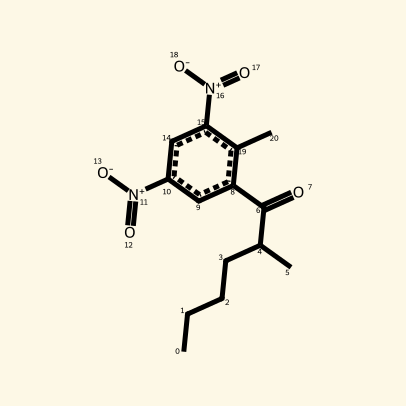 CCCCC(C)C(=O)c1cc([N+](=O)[O-])cc([N+](=O)[O-])c1C